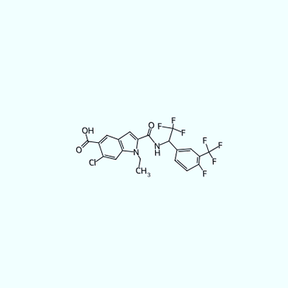 CCn1c(C(=O)NC(c2ccc(F)c(C(F)(F)F)c2)C(F)(F)F)cc2cc(C(=O)O)c(Cl)cc21